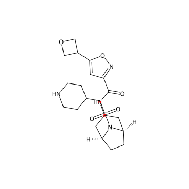 O=C(NC1C[C@H]2CC[C@@H](C1)N2S(=O)(=O)CC1CCNCC1)c1cc(C2COC2)on1